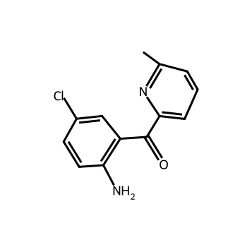 Cc1cccc(C(=O)c2cc(Cl)ccc2N)n1